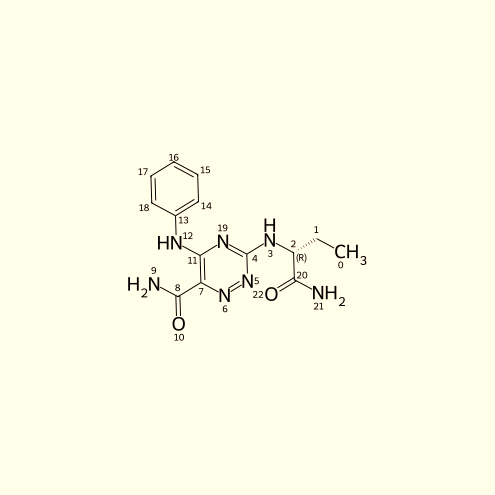 CC[C@@H](Nc1nnc(C(N)=O)c(Nc2ccccc2)n1)C(N)=O